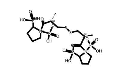 C[C@H](CSSC[C@@H](C)C(=O)[N+]1(P(=O)(O)O)CCCC1P(=O)(O)O)C(=O)[N+]1(P(=O)(O)O)CCCC1P(=O)(O)O